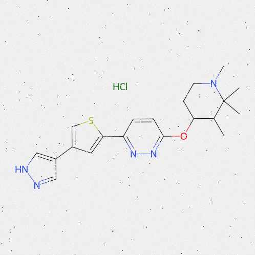 CC1C(Oc2ccc(-c3cc(-c4cn[nH]c4)cs3)nn2)CCN(C)C1(C)C.Cl